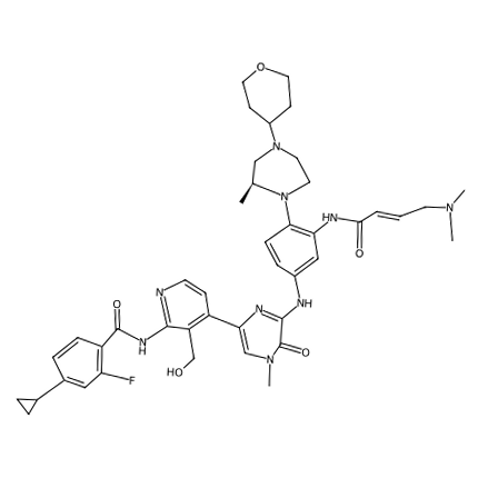 C[C@H]1CN(C2CCOCC2)CCN1c1ccc(Nc2nc(-c3ccnc(NC(=O)c4ccc(C5CC5)cc4F)c3CO)cn(C)c2=O)cc1NC(=O)/C=C/CN(C)C